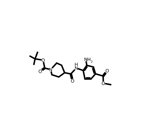 COC(=O)c1ccc(NC(=O)C2CCN(C(=O)OC(C)(C)C)CC2)c(N)c1